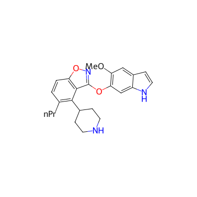 CCCc1ccc2onc(Oc3cc4[nH]ccc4cc3OC)c2c1C1CCNCC1